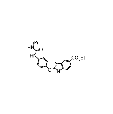 CCOC(=O)c1ccc2nc(Oc3ccc(NC(=O)NC(C)C)cc3)sc2c1